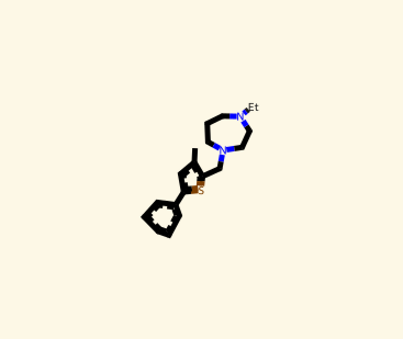 CCN1CCCN(Cc2sc(-c3ccccc3)cc2C)CC1